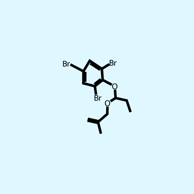 C=C(C)COC(CC)Oc1c(Br)cc(Br)cc1Br